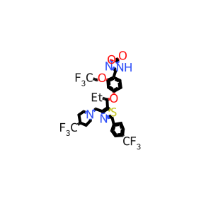 CCC(Oc1ccc(-c2noc(=O)[nH]2)c(OCC(F)(F)F)c1)c1sc(-c2ccc(C(F)(F)F)cc2)nc1CN1CCC(C(F)(F)F)CC1